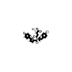 CC(C)(Cc1ccc(Cl)cc1)N(C(=O)c1ccc(-c2ccc(F)cc2)s1)[C@@H](CCC(N)=O)C(=O)O